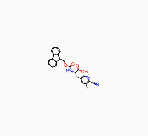 Cc1cc(C[C@H](NC(=O)OCC2c3ccccc3-c3ccccc32)C(=O)O)cnc1C#N